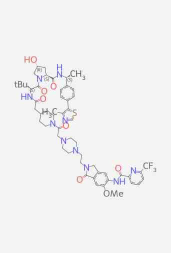 COc1cc2c(cc1NC(=O)c1cccc(C(F)(F)F)n1)CN(CCN1CCN(CC(=O)N3CCC(CC(=O)N[C@H](C(=O)N4C[C@H](O)C[C@H]4C(=O)N[C@@H](C)c4ccc(-c5scnc5C)cc4)C(C)(C)C)CC3)CC1)C2=O